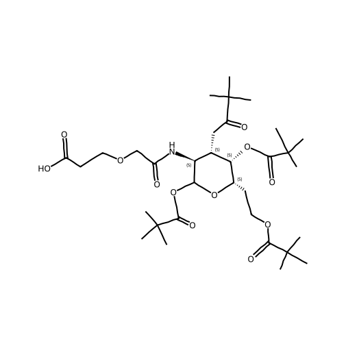 CC(C)(C)C(=O)C[C@@H]1[C@H](OC(=O)C(C)(C)C)[C@H](CCOC(=O)C(C)(C)C)OC(OC(=O)C(C)(C)C)[C@H]1NC(=O)COCCC(=O)O